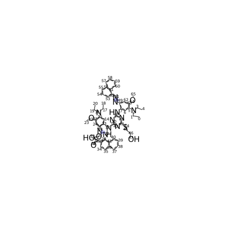 CCN(CC)c1cc(Nc2nc(Nc3cc(N(CC)CC)c(OC)cc3/N=N/c3c(S(=O)(=O)O)ccc4ccccc34)nc(SCCO)n2)c(/N=N/c2cccc3ccccc23)cc1OC